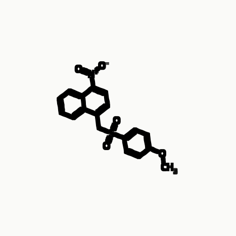 COc1ccc(S(=O)(=O)Cc2ccc([N+](=O)[O-])c3ccccc23)cc1